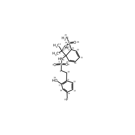 CC(C)(C)C1(NS(=O)(=O)CCc2ccc(F)cc2O)C=CC=CC1S(N)(=O)=O